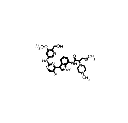 COCC(C(=O)Nc1cccc2c(-c3nc(Nc4cnc(CO)c(OC)c4)ncc3F)c[nH]c12)N1CCN(C)CC1